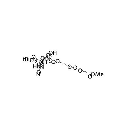 COC(=O)CCCCCOCCOCCOCCCCCCOc1ccc(C)c([C@H](CCO)NC(=O)c2cccc(NC3(c4nnc(-c5ccncc5)[nH]4)CCN(C(=O)OC(C)(C)C)CC3)c2)c1